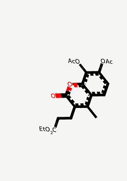 CCOC(=O)CCc1c(C)c2ccc(OC(C)=O)c(OC(C)=O)c2oc1=O